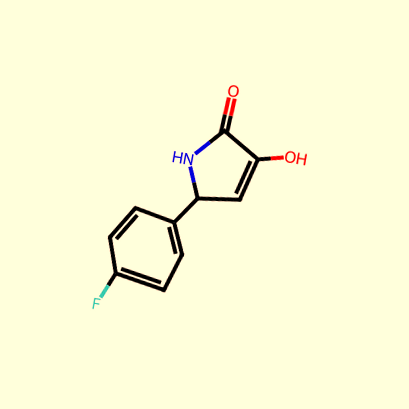 O=C1NC(c2ccc(F)cc2)C=C1O